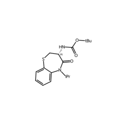 CC(C)N1C(=O)[C@@H](NC(=O)OC(C)(C)C)CSc2ccccc21